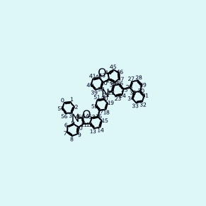 c1ccc(-n2c3ccccc3c3c4cccc(-c5ccc(N(c6ccc(-c7cccc8ccccc78)cc6)c6cccc7oc8ccccc8c67)cc5)c4oc32)cc1